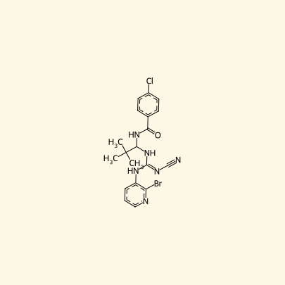 CC(C)(C)C(NC(=O)c1ccc(Cl)cc1)N/C(=N\C#N)Nc1cccnc1Br